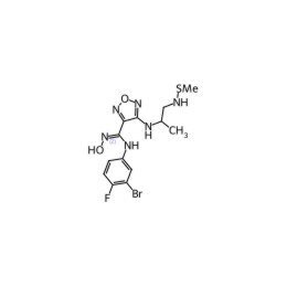 CSNCC(C)Nc1nonc1/C(=N/O)Nc1ccc(F)c(Br)c1